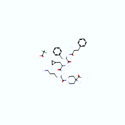 COC(=O)C1(N)CCN(C(=O)[C@@H](CCCCN)NC(=O)C(CC2CC2)NC(=O)[C@@H](Cc2ccccc2)NC(=O)[C@H](N)Cc2ccccc2)CC1.O=C(O)C(F)(F)F